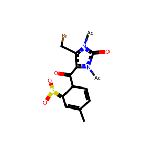 CC(=O)n1c(CBr)c(C(=O)C2C=CC(C)=CC2=S(=O)=O)n(C(C)=O)c1=O